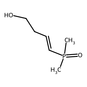 CP(C)(=O)/C=C/CCO